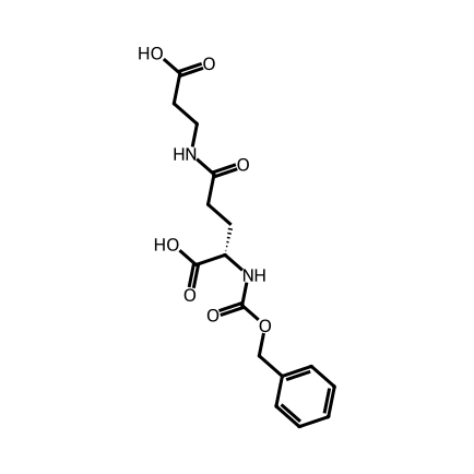 O=C(O)CCNC(=O)CC[C@H](NC(=O)OCc1ccccc1)C(=O)O